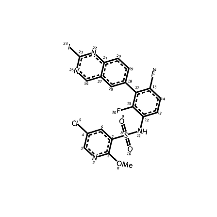 COc1ncc(Cl)cc1S(=O)(=O)Nc1ccc(F)c(-c2ccc3nc(I)ncc3c2)c1F